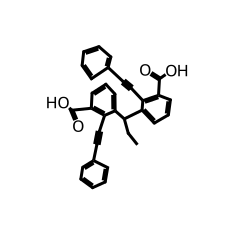 CCC(c1cccc(C(=O)O)c1C#Cc1ccccc1)c1cccc(C(=O)O)c1C#Cc1ccccc1